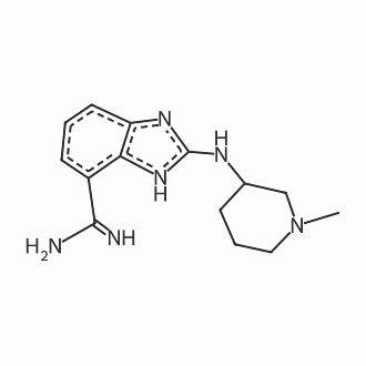 CN1CCCC(Nc2nc3cccc(C(=N)N)c3[nH]2)C1